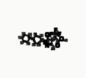 COC(=O)C(=C1C(=O)N(c2ccc(-c3ccccc3)cc2)N=C1C)C(F)(F)F